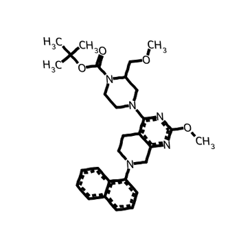 COCC1CN(c2nc(OC)nc3c2CCN(c2cccc4ccccc24)C3)CCN1C(=O)OC(C)(C)C